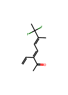 C=C/C(=C\C=C(/C)C(C)(F)F)C(C)=O